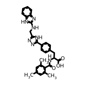 Cc1cc(C)c(C(=O)NC(Cc2ccc(-c3nnc(CNc4nc5ccccc5[nH]4)[nH]3)cc2)C(=O)O)c(C)c1